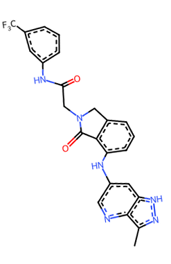 Cc1n[nH]c2cc(Nc3cccc4c3C(=O)N(CC(=O)Nc3cccc(C(F)(F)F)c3)C4)cnc12